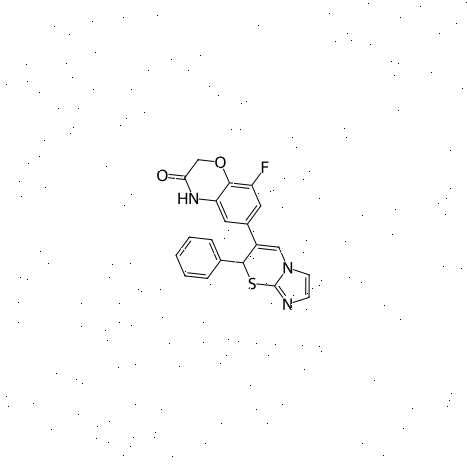 O=C1COc2c(F)cc(C3=Cn4ccnc4SC3c3ccccc3)cc2N1